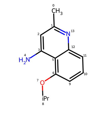 Cc1cc(N)c2c(OC(C)C)cccc2n1